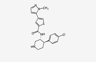 Cn1nccc1-c1csc(C(=O)N[C@H]2CNCC[C@@H]2c2ccc(Cl)cc2)c1